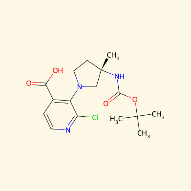 CC(C)(C)OC(=O)N[C@@]1(C)CCN(c2c(C(=O)O)ccnc2Cl)C1